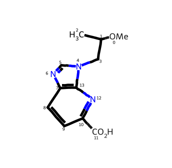 COC(C)Cn1cnc2ccc(C(=O)O)nc21